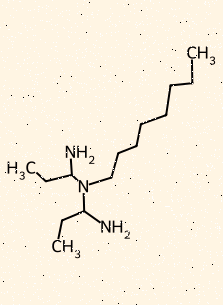 CCCCCCCCN(C(N)CC)C(N)CC